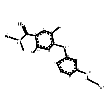 CCN(C)C(=N)c1cc(C)c(Oc2cccc(SCC(F)(F)F)c2)cc1C